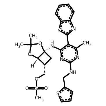 Cc1nc(NCc2cccs2)nc(N[C@]23C[C@H](COS(C)(=O)=O)[C@H]2OC(C)(C)O3)c1-c1nc2ccccc2s1